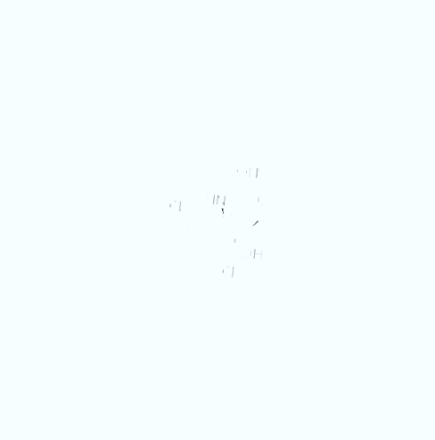 C[C@@H](O)[C@H](NC(=O)O)c1c(Cl)cccc1Cl